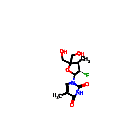 Cc1cn([C@@H]2OC(CO)(CO)[C@@H](C)[C@@H]2F)c(=O)[nH]c1=O